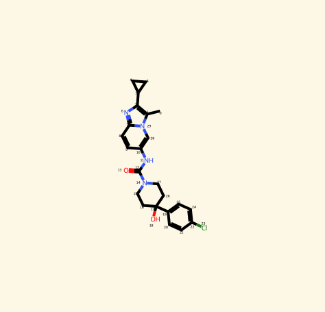 Cc1c(C2CC2)nc2ccc(NC(=O)N3CCC(O)(c4ccc(Cl)cc4)CC3)cn12